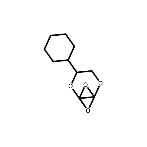 C1CCC(C2COC34OC3(O2)O4)CC1